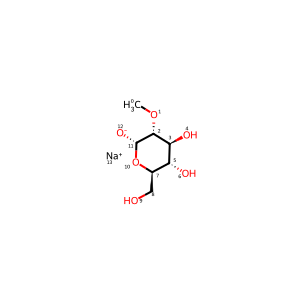 CO[C@@H]1[C@@H](O)[C@H](O)[C@@H](CO)O[C@@H]1[O-].[Na+]